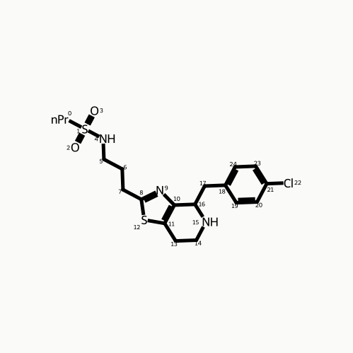 CCCS(=O)(=O)NCCCc1nc2c(s1)CCNC2Cc1ccc(Cl)cc1